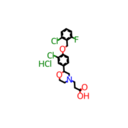 Cl.O=C(O)CCN1CCOC(c2ccc(OCc3c(F)cccc3Cl)c(Cl)c2)C1